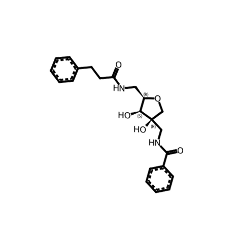 O=C(CCc1ccccc1)NC[C@H]1OC[C@](O)(CNC(=O)c2ccccc2)[C@H]1O